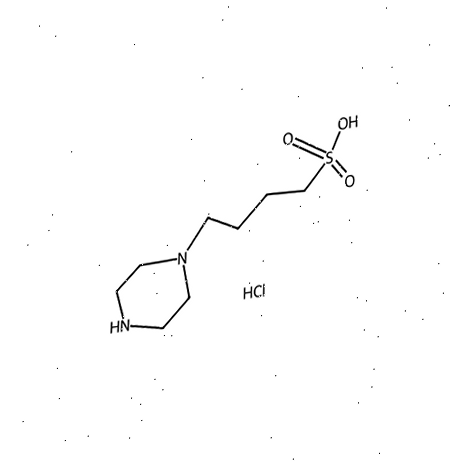 Cl.O=S(=O)(O)CCCCN1CCNCC1